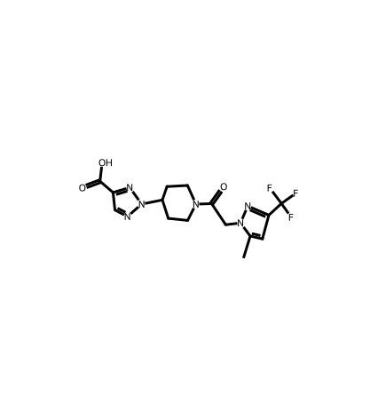 Cc1cc(C(F)(F)F)nn1CC(=O)N1CCC(n2ncc(C(=O)O)n2)CC1